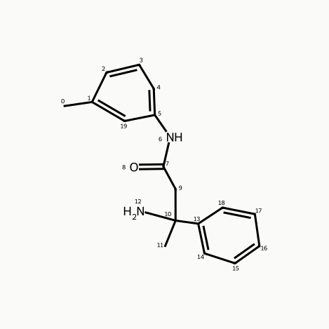 Cc1cccc(NC(=O)CC(C)(N)c2ccccc2)c1